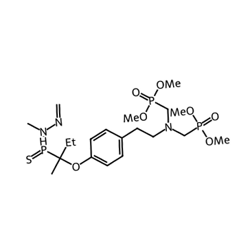 C=NN(C)[PH](=S)C(C)(CC)Oc1ccc(CCN(CP(=O)(OC)OC)CP(=O)(OC)OC)cc1